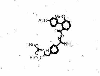 CCOC(=O)[C@H](Cc1ccc(C(N)=NOC(=O)c2cccc(OC)c2-c2ccc(OC(C)=O)cc2)cc1)NC(=O)OC(C)(C)C